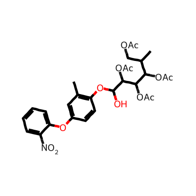 CC(=O)OCC(C)C(OC(C)=O)C(OC(C)=O)C(OC(C)=O)C(O)Oc1ccc(Oc2ccccc2[N+](=O)[O-])cc1C